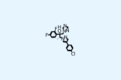 C[C@@H](n1cc(-c2ccc(Cl)cc2)cn1)[C@](O)(Cn1cncn1)c1ccc(F)cc1F